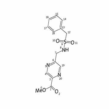 COC(=O)c1cnc(CNS(=O)(=O)Cc2ccccc2)cn1